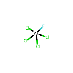 F[As](Cl)(Cl)(Cl)Cl